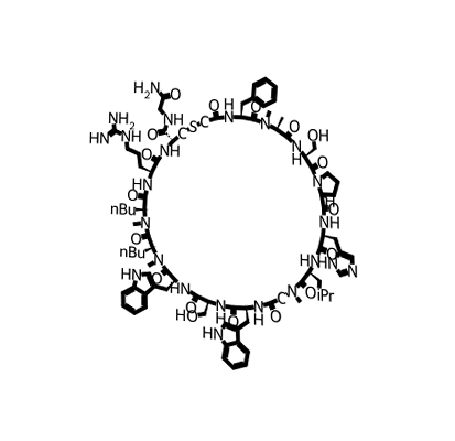 CCCC[C@H]1C(=O)N(C)[C@@H](CCCC)C(=O)N[C@@H](CCCNC(=N)N)C(=O)N[C@H](C(=O)NCC(N)=O)CSCC(=O)N[C@@H](Cc2ccccc2)C(=O)N(C)[C@@H](C)C(=O)N[C@@H](CO)C(=O)N2CCC[C@H]2C(=O)N[C@@H](Cc2cnc[nH]2)C(=O)N[C@@H](CC(C)C)C(=O)N(C)CC(=O)N[C@@H](Cc2c[nH]c3ccccc23)C(=O)N[C@@H](CO)C(=O)N[C@@H](Cc2c[nH]c3ccccc23)C(=O)N1C